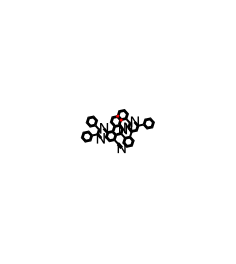 N#Cc1cc2nc(-c3ccccc3)c(-c3ccccc3)nc2c2c1c(-c1ccccc1-c1cc(-c3ccccc3)nc(-c3ccccc3)n1)nc1ccccc12